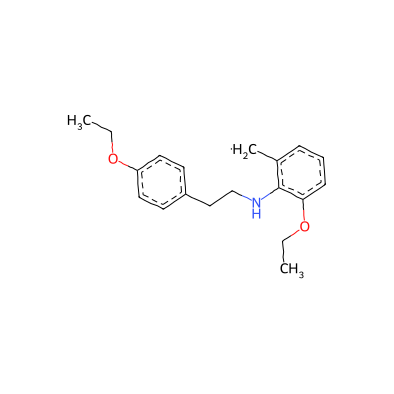 [CH2]c1cccc(OCC)c1NCCc1ccc(OCC)cc1